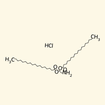 CCCCCCCCCCCCCCCCCC(=O)OC(CN)OC(=O)CCCCCCCCCCCCCCCCC.Cl